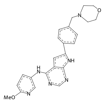 COc1ccc(Nc2ncnc3[nH]c(-c4ccc(CN5CCOCC5)cc4)cc23)cn1